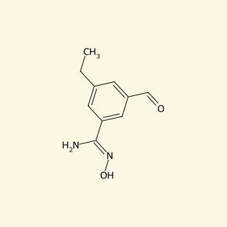 CCc1cc(C=O)cc(/C(N)=N/O)c1